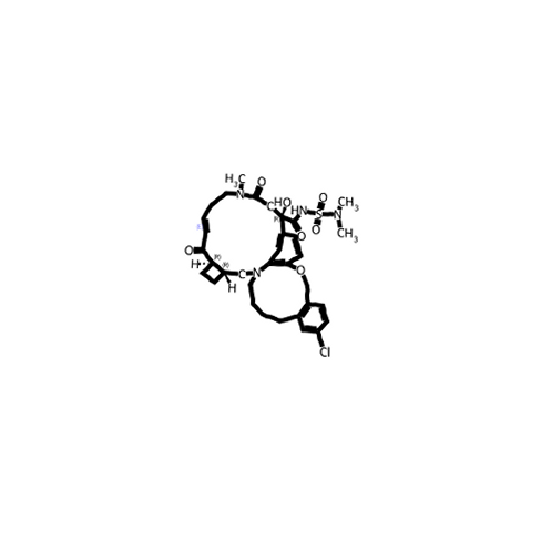 CN1CC/C=C/C(=O)[C@@H]2CC[C@H]2CN2CCCCc3cc(Cl)ccc3COc3ccc(cc32)[C@@](O)(C(=O)NS(=O)(=O)N(C)C)CC1=O